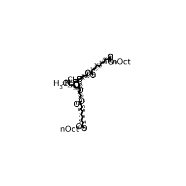 CCCCCCCCOC(=O)CCCCCCCC(=O)OCCCOc1cc(CN(C)C)cc(OCCCOC(=O)CCCCCCCC(=O)OCCCCCCCC)c1